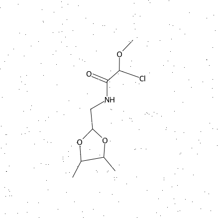 COC(Cl)C(=O)NCC1OC(C)C(C)O1